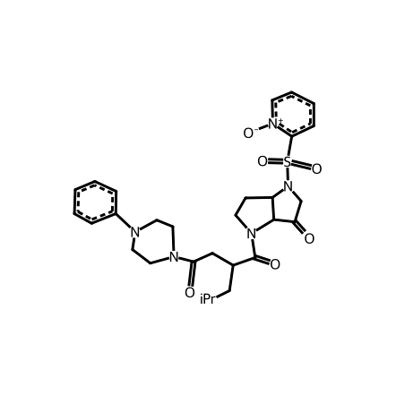 CC(C)CC(CC(=O)N1CCN(c2ccccc2)CC1)C(=O)N1CCC2C1C(=O)CN2S(=O)(=O)c1cccc[n+]1[O-]